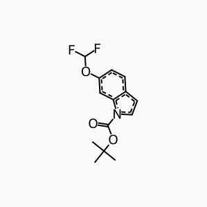 CC(C)(C)OC(=O)n1ccc2ccc(OC(F)F)cc21